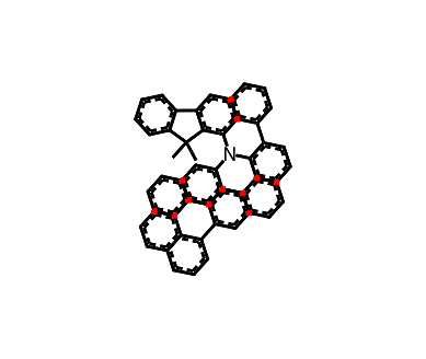 CC1(C)c2ccccc2-c2cccc(N(c3ccccc3-c3ccccc3)c3ccc(-c4cccc5cccc(-c6ccccc6-c6ccccc6)c45)cc3-c3ccccc3)c21